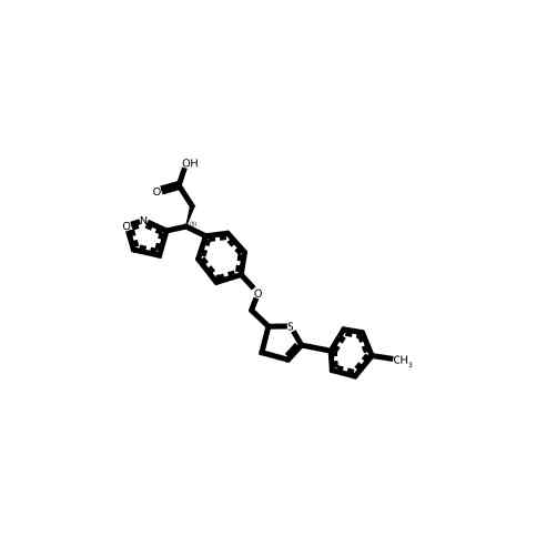 Cc1ccc(C2=CCC(COc3ccc([C@H](CC(=O)O)c4ccon4)cc3)S2)cc1